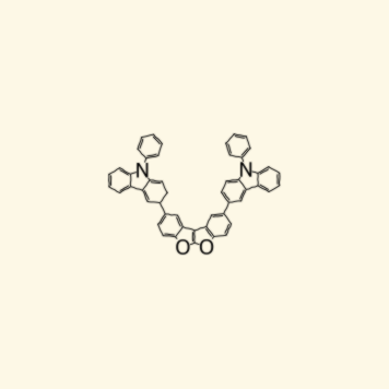 C1=c2c(n(-c3ccccc3)c3ccccc23)=CCC1c1ccc2oc3oc4ccc(-c5ccc6c(c5)c5ccccc5n6-c5ccccc5)cc4c3c2c1